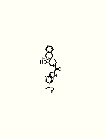 COC(C)c1cnc2cc(C(=O)N3CC[C@]4(Cc5ccccc5CN4)[C@H](O)C3)nn2c1